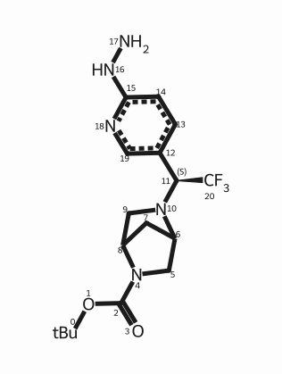 CC(C)(C)OC(=O)N1CC2CC1CN2[C@@H](c1ccc(NN)nc1)C(F)(F)F